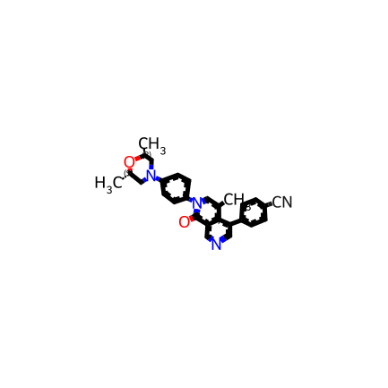 Cc1cn(-c2ccc(N3C[C@@H](C)O[C@@H](C)C3)cc2)c(=O)c2cncc(-c3ccc(C#N)cc3)c12